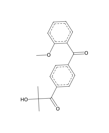 COc1ccccc1C(=O)c1ccc(C(=O)C(C)(C)O)cc1